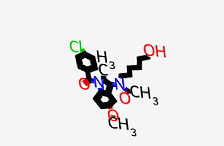 COc1ccc2c(c1)c(N(CCCCCCO)C(C)=O)c(C)n2C(=O)c1ccc(Cl)cc1